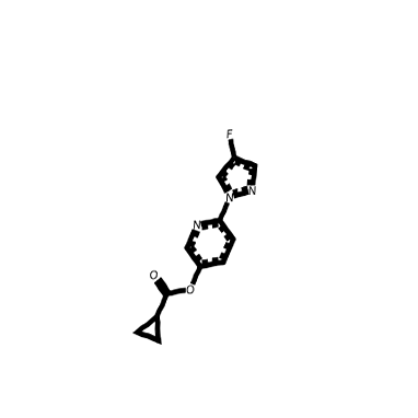 O=C(Oc1ccc(-n2cc(F)cn2)nc1)C1CC1